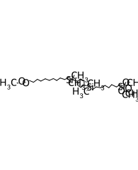 CCOOCCCCCCCCCCC[Si](C)(C)c1ccc([Si](C)(C)CCCCCCCC[Si](OC)(OC)OC)cc1